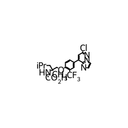 CC(C)CC(C)(COc1ccc(-c2cc(Cl)nn3ccnc23)cc1C(F)(F)F)NC(=O)O